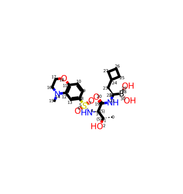 C[C@H](O)[C@H](NS(=O)(=O)c1ccc2c(c1)N(C)CCO2)C(=O)N[C@@H](CC1CCC1)B(O)O